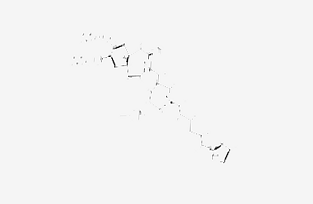 COc1cc2c(cc1OC)CC(=O)N(CC1CCCN(CCCCCCc3cccs3)C1)CC2.Cl